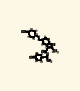 Cc1[nH]c2ccc(CCN3CCC(O)CC3)cc2c1C(=O)OC(C)c1ccc(Cl)cc1